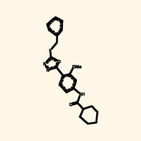 COc1cc(NC(=O)C2CCCCC2)ccc1-c1nnc(SCc2ccccc2)o1